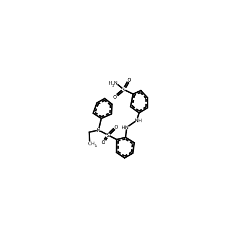 CCN(c1ccccc1)S(=O)(=O)c1ccccc1NNc1cccc(S(N)(=O)=O)c1